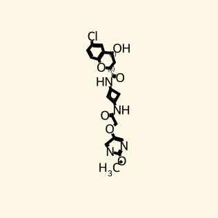 COc1ncc(OCC(=O)NC23CC(NC(=O)[C@H]4C[C@@H](O)c5cc(Cl)ccc5O4)(C2)C3)cn1